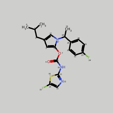 CC(C)Cc1cc(OC(=O)Nc2ncc(F)s2)n(C(C)c2ccc(F)cc2)c1